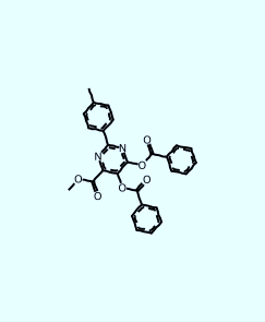 COC(=O)c1nc(-c2ccc(C)cc2)nc(OC(=O)c2ccccc2)c1OC(=O)c1ccccc1